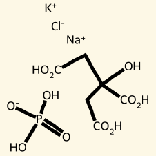 O=C(O)CC(O)(CC(=O)O)C(=O)O.O=P([O-])(O)O.[Cl-].[K+].[Na+]